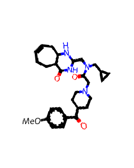 COc1ccc(C(=O)C2CCN(CC(=O)N(CC3CC3)CC3NC(=O)C4CCC=CCC4N3)CC2)cc1